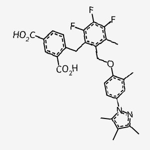 Cc1cc(-n2nc(C)c(C)c2C)ccc1OCc1c(C)c(F)c(F)c(F)c1Cc1ccc(C(=O)O)cc1C(=O)O